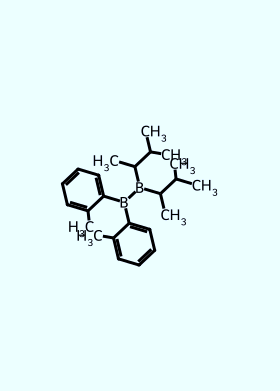 Cc1ccccc1B(B(C(C)C(C)C)C(C)C(C)C)c1ccccc1C